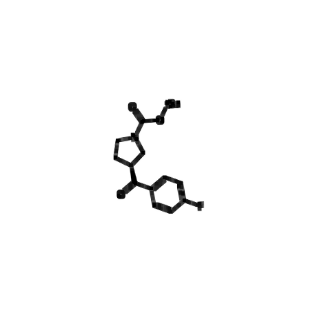 CC(C)(C)OC(=O)N1CC[C@H](C(=O)c2ccc(F)cc2)C1